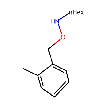 CCCCCCNOCc1ccccc1C